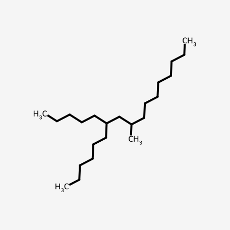 CCCCCCCCC(C)CC(CCCCC)CCCCCC